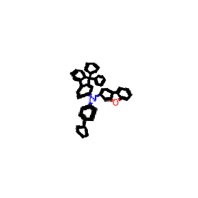 c1ccc(-c2ccc(N(c3ccc4c(c3)C(c3ccccc3)(c3ccccc3)c3ccccc3-4)c3ccc4c(c3)oc3ccccc34)cc2)cc1